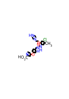 Cc1cc(NC(=O)NCc2ccc(Oc3ccnc(C(=O)O)c3)cc2)c(OCCN2CCNCC2)cc1Cl